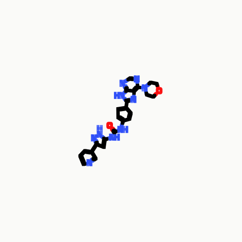 O=C(Nc1ccc(-c2nc3c(N4CCOCC4)ncnc3[nH]2)cc1)Nc1cc(-c2cccnc2)n[nH]1